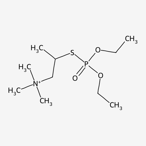 CCOP(=O)(OCC)SC(C)C[N+](C)(C)C